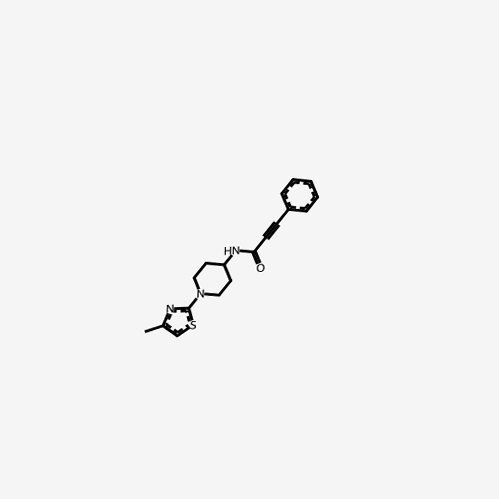 Cc1csc(N2CCC(NC(=O)C#Cc3ccccc3)CC2)n1